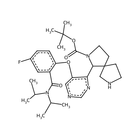 CC(C)N(C(=O)c1cc(F)ccc1Oc1cncnc1C1N(C(=O)OC(C)(C)C)CCC12CCNC2)C(C)C